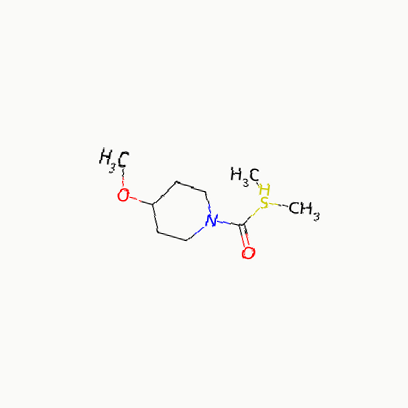 COC1CCN(C(=O)[SH](C)C)CC1